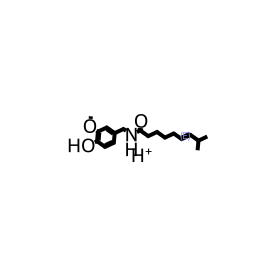 COc1cc(CNC(=O)CCCC/C=C/C(C)C)ccc1O.[H+]